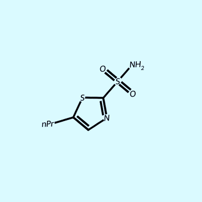 CCCc1cnc(S(N)(=O)=O)s1